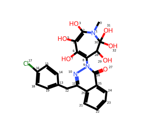 CN1C(O)=C(O)C(O)=C(n2nc(Cc3ccc(Cl)cc3)c3ccccc3c2=O)C(O)C1(O)O